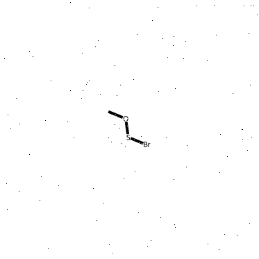 COSBr